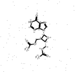 O=C(OC[C@H]1[C@H](n2cnc3c(=O)[nH]cnc32)O[C@@H]1COC(=O)C(F)(F)F)C(F)(F)F